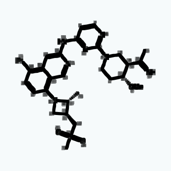 CO[C@@H]1CCN(c2nccc(Nc3cc4c(C(C)C)ccc(N5C[C@H](CS(C)(=O)=O)[C@H]5C)c4cn3)n2)C[C@H]1C(C)=N